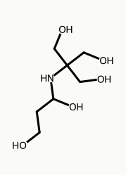 OCCC(O)NC(CO)(CO)CO